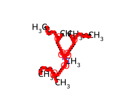 CC/C=C\C/C=C\C/C=C\C/C=C\C/C=C\CCCC(=O)OC(C/C=C\CCCCCCCCOC(=O)CCN(C)CCCN(CCC(=O)OCCCCCCCC/C=C\CC(CCCCCC)OC(=O)CCC/C=C\C/C=C\C/C=C\C/C=C\C/C=C\CC)CCC(=O)OCCCCCCCC/C=C\CC(CCCCCC)OC(=O)CCC/C=C\C/C=C\C/C=C\C/C=C\C/C=C\CC)CCCCCC